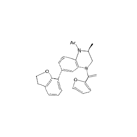 C=C(c1ccco1)N1C[C@H](C)N(C(C)=O)c2ccc(-c3cccc4c3OCC4)cc21